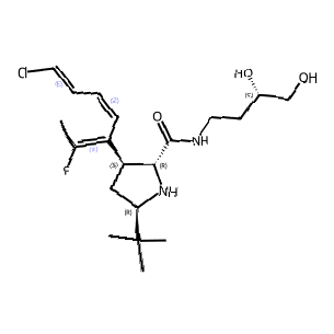 C\C(F)=C(/C=C\C=C\Cl)[C@@H]1C[C@H](C(C)(C)C)N[C@H]1C(=O)NCC[C@H](O)CO